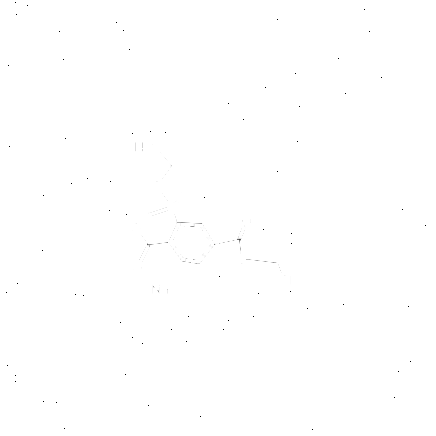 CCOC(=O)c1ccc(C(=O)[O-])c(S(=O)(=O)OCC)c1.[Na+]